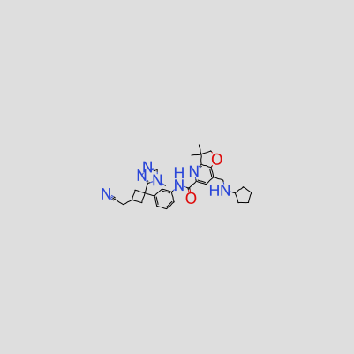 Cn1cnnc1C1(c2cccc(NC(=O)c3cc(CNC4CCCC4)c4c(n3)C(C)(C)CO4)c2)CC(CC#N)C1